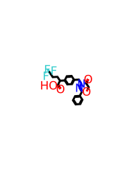 O=C(O)C(CCC(F)(F)F)c1ccc(CN2N=C(c3ccccc3)OCC2=O)cc1